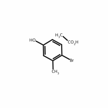 CC(=O)O.Cc1cc(O)ccc1Br